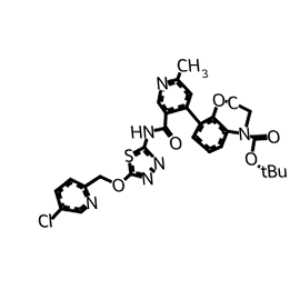 Cc1cc(-c2cccc3c2OCCN3C(=O)OC(C)(C)C)c(C(=O)Nc2nnc(OCc3ccc(Cl)cn3)s2)cn1